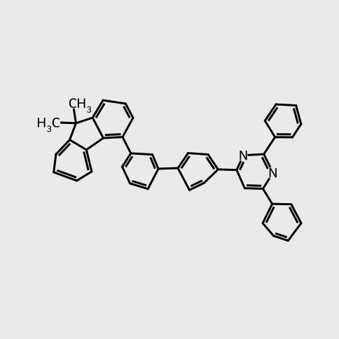 CC1(C)c2ccccc2-c2c(-c3cccc(-c4ccc(-c5cc(-c6ccccc6)nc(-c6ccccc6)n5)cc4)c3)cccc21